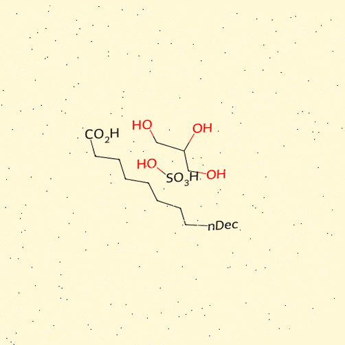 CCCCCCCCCCCCCCCCCC(=O)O.O=S(=O)(O)O.OCC(O)CO